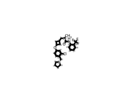 CN(CC1CC(Oc2ccc(CN3CCCC3)c(Cl)c2)C1)C(=O)Nc1ccccc1C(F)(F)F